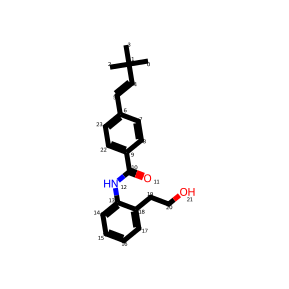 CC(C)(C)/C=C/c1ccc(C(=O)Nc2ccccc2CCO)cc1